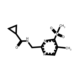 Cc1cnc(CNC(=O)C2CC2)nc1S(C)(=O)=O